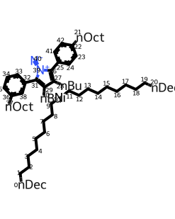 CCCCCCCCCCCCCCCCCC[CH2][Ni][CH2]CCCCCCCCCCCCCCCCCC.CCCCCCCCc1ccc(C2=C(CCCC)C(CCCC)=C(c3cccc(CCCCCCCC)c3)[N+]2=[N-])cc1